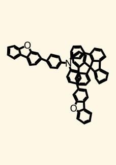 c1cc(-c2cccc3c2C2(c4ccccc4-c4ccccc42)c2ccccc2-3)cc(N(c2ccc(-c3ccc4c(c3)oc3ccccc34)cc2)c2ccc(-c3ccc4c(c3)oc3ccccc34)cc2)c1